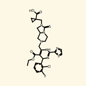 CCOC(=O)C1=C(CN2CCN3C(=S)N(CC4(C(=O)O)CC4)CC3C2)NC(c2nccs2)=NC1c1cccc(F)c1Cl